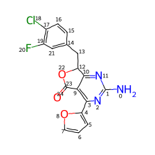 Nc1nc(-c2ccco2)c2c(n1)C(Cc1ccc(Cl)c(F)c1)OC2=O